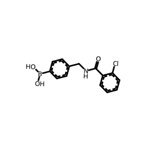 O=C(NCc1ccc(B(O)O)cc1)c1ccccc1Cl